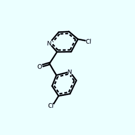 O=C(c1cc(Cl)ccn1)c1cc(Cl)ccn1